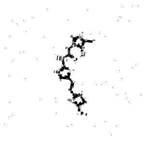 CC(C)(C)c1cnc(C=Cc2cnc(NC(=O)Cn3cnc(Cl)c3Cl)s2)o1